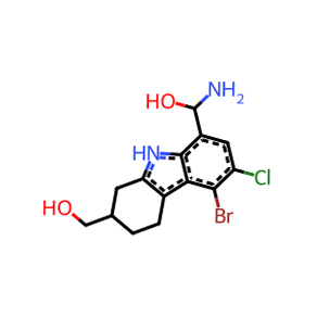 NC(O)c1cc(Cl)c(Br)c2c3c([nH]c12)CC(CO)CC3